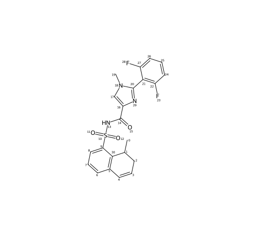 CC1CC=Cc2cccc(S(=O)(=O)NC(=O)c3cn(C)c(-c4c(F)cccc4F)n3)c21